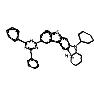 c1ccc(-c2nc(-c3ccccc3)nc(-c3ccc4sc5cc6c(cc5c4c3)[C@@H]3CCCCC3N6C3CCCCC3)n2)cc1